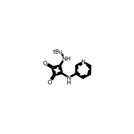 CC(C)(C)Nc1c(Nc2cccnc2)c(=O)c1=O